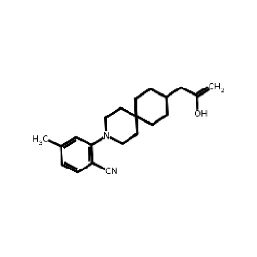 C=C(O)CC1CCC2(CC1)CCN(c1cc(C)ccc1C#N)CC2